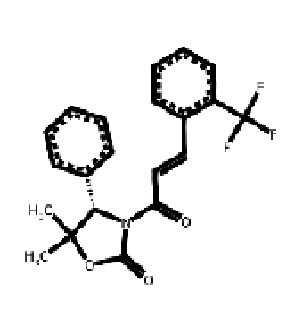 CC1(C)OC(=O)N(C(=O)/C=C/c2ccccc2C(F)(F)F)[C@H]1c1ccccc1